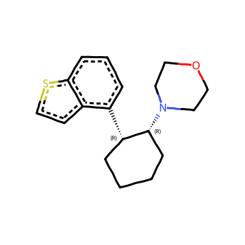 c1cc([C@H]2CCCC[C@H]2N2CCOCC2)c2ccsc2c1